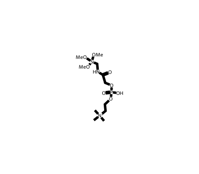 CO[Si](CNC(=O)COP(=O)(O)OCC[N+](C)(C)C)(OC)OC